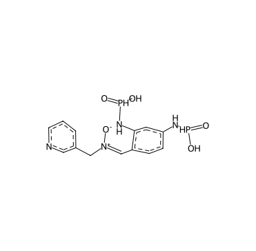 O=[PH](O)Nc1ccc(C=[N+]([O-])Cc2cccnc2)c(N[PH](=O)O)c1